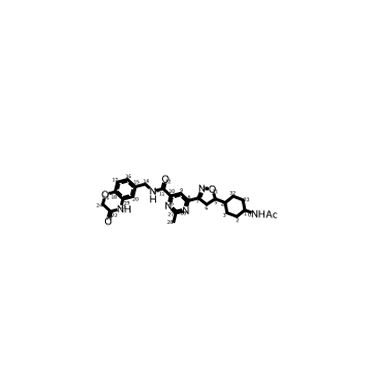 CC(=O)NC1CCC(C2CC(c3cc(C(=O)NCc4ccc5c(c4)NC(=O)CO5)nc(C)n3)=NO2)CC1